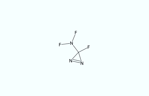 FN(F)C1(F)N=N1